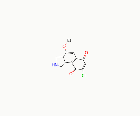 CCOC1=CC2=C(C(=O)C(Cl)=CC2=O)C2CNCC12